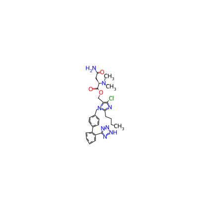 CCCCc1nc(Cl)c(COC(=O)[C@@H](CC(N)=O)N(C)C)n1Cc1ccc(-c2ccccc2-c2nn[nH]n2)cc1